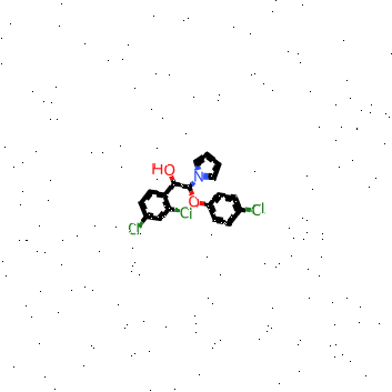 OC(c1ccc(Cl)cc1Cl)C(Oc1ccc(Cl)cc1)n1cccc1